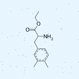 CCOC(=O)C(N)Cc1ccc(C)c(C)c1